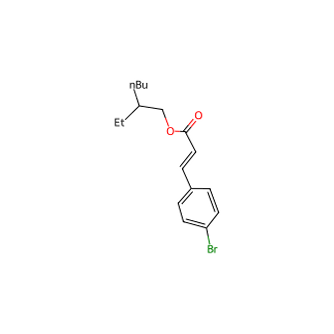 CCCCC(CC)COC(=O)C=Cc1ccc(Br)cc1